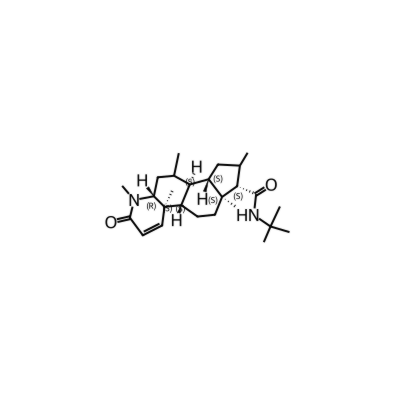 CC1C[C@H]2N(C)C(=O)C=C[C@]2(C)[C@H]2CC[C@]3(C)[C@@H](C(=O)NC(C)(C)C)C(C)C[C@H]3[C@H]12